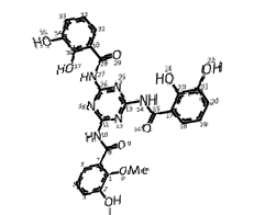 COc1c(O)cccc1C(=O)Nc1nc(NC(=O)c2cccc(O)c2O)nc(NC(=O)c2cccc(O)c2O)n1